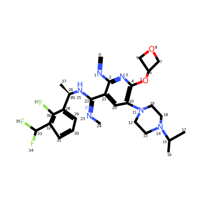 C=Nc1nc(OC2COC2)c(N2CCN(C(C)C)CC2)cc1/C(=N\C)N[C@H](C)c1cccc(C(F)F)c1F